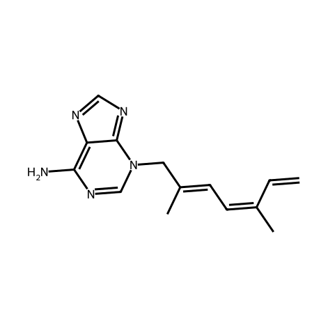 C=C/C(C)=C\C=C(/C)Cn1cnc(N)c2ncnc1-2